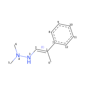 C/C(=C\NN(C)C)c1ccccc1